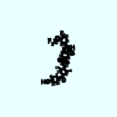 Cc1cc(C(=O)N2CCC(O)CC2)cc(C)c1C=CS(=O)(=O)N1CCC2(CC1)N=C(c1ccc(F)c(OC(F)(F)F)c1)NC2=O